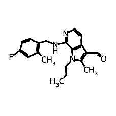 CCCn1c(C)c(C=O)c2ccnc(NCc3ccc(F)cc3C)c21